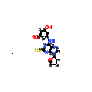 Oc1cc(O)cc(Nc2nc(S)nc3c2ncn3C2CCCO2)c1